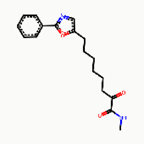 CNC(=O)C(=O)CCCCCCc1cnc(-c2ccccc2)o1